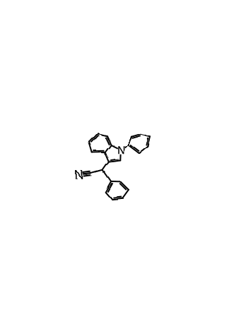 N#CC(c1ccccc1)c1cn(-c2ccccc2)c2ccccc12